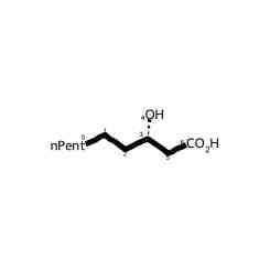 CCCCCCC[C@H](O)CC(=O)O